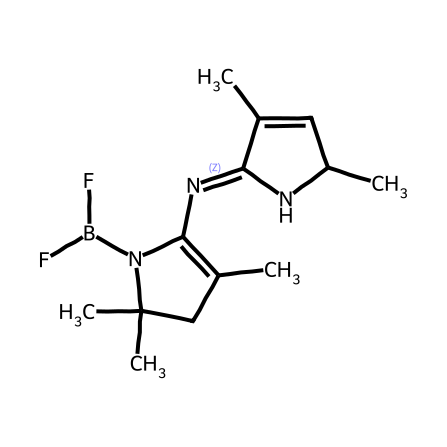 CC1=CC(C)N/C1=N\C1=C(C)CC(C)(C)N1B(F)F